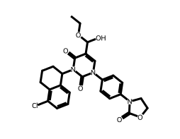 CCOC(O)c1cn(-c2ccc(N3CCOC3=O)cc2)c(=O)n(C2CCCc3c(Cl)cccc32)c1=O